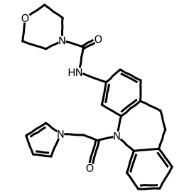 O=C(Nc1ccc2c(c1)N(C(=O)Cn1cccc1)c1ccccc1CC2)N1CCOCC1